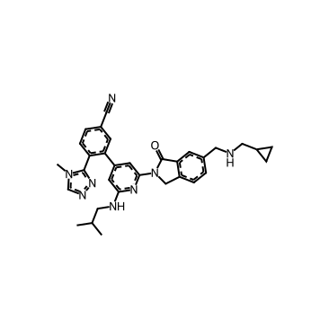 CC(C)CNc1cc(-c2cc(C#N)ccc2-c2nncn2C)cc(N2Cc3ccc(CNCC4CC4)cc3C2=O)n1